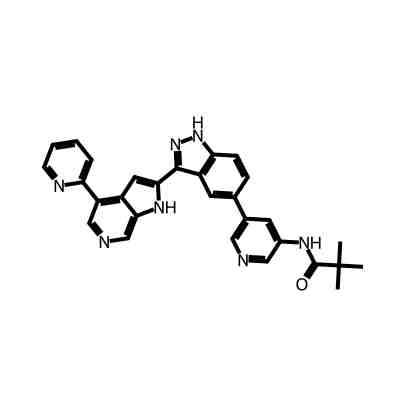 CC(C)(C)C(=O)Nc1cncc(-c2ccc3[nH]nc(-c4cc5c(-c6ccccn6)cncc5[nH]4)c3c2)c1